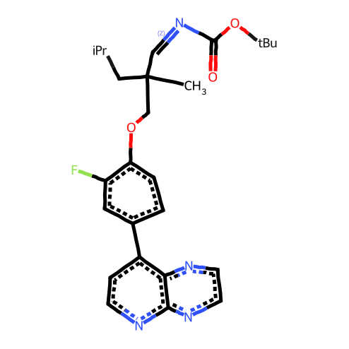 CC(C)CC(C)(/C=N\C(=O)OC(C)(C)C)COc1ccc(-c2ccnc3nccnc23)cc1F